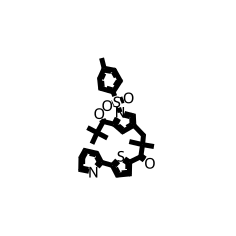 Cc1ccc(S(=O)(=O)n2cc(CC(C)(C)C(=O)c3ccc(-c4ccccn4)s3)cc2C(=O)C(C)(C)C)cc1